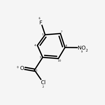 O=C(Cl)c1cc(F)cc([N+](=O)[O-])c1